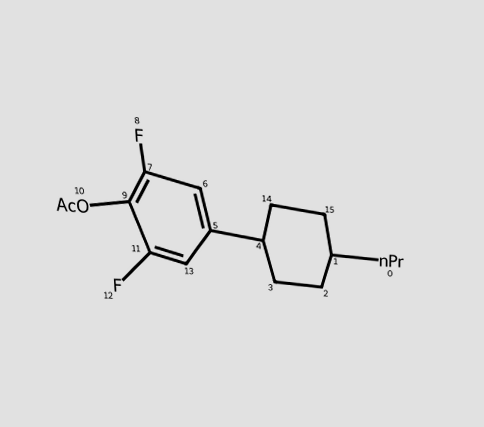 CCCC1CCC(c2cc(F)c(OC(C)=O)c(F)c2)CC1